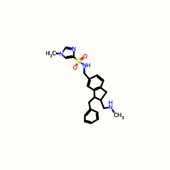 CNCC1Cc2ccc(CNS(=O)(=O)c3cn(C)cn3)cc2C1Cc1ccccc1